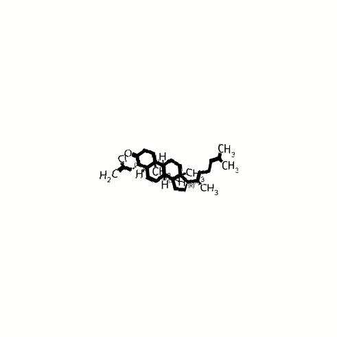 C=C(Cl)C[C@@H]1C(=O)CC[C@]2(C)[C@H]3CC[C@]4(C)[C@@H]([C@H](C)CCCC(C)C)CC[C@H]4[C@@H]3CC[C@@H]12